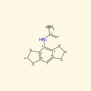 BC(=C)Nc1c2c(cc3c1CCC3)CCC2